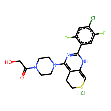 Cl.O=C(CO)N1CCN(C2=C3CCSC=C3NC(c3cc(F)c(Cl)cc3F)=N2)CC1